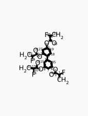 C=C(F)C(=O)Oc1cc(OC(=O)C(=C)F)cc(-c2ccc(OC(=O)C(=C)F)cc2OC(=O)C(=C)F)c1